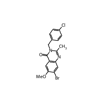 COc1cc2c(=O)n(Cc3ccc(Cl)cc3)c(C)nc2cc1Br